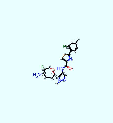 Cc1ccc(-c2nc(C(=O)Nc3cnn(C)c3[C@@H]3CC[C@@H](N)[C@H](F)CO3)cs2)c(F)c1